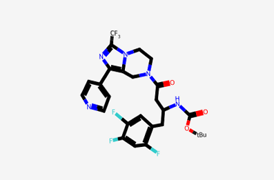 CC(C)(C)OC(=O)NC(CC(=O)N1CCn2c(C(F)(F)F)nc(-c3ccncc3)c2C1)Cc1cc(F)c(F)cc1F